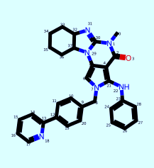 CN1C(=O)c2c(cn(Cc3ccc(-c4ccccn4)cc3)c2Nc2ccccc2)N2C1=NC1CCCCC12